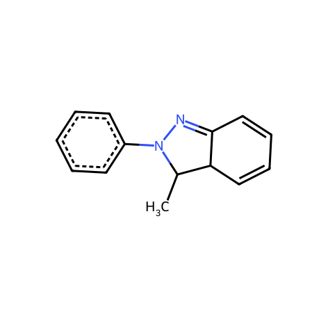 CC1C2C=CC=CC2=NN1c1ccccc1